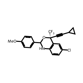 COc1ccc(C2Nc3ccc(Cl)cc3[C@@](C#CC3CC3)(C(F)(F)F)O2)cc1